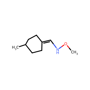 CONC=C1CCC(C)CC1